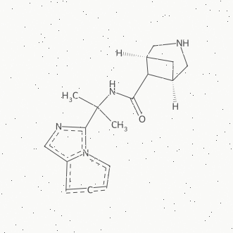 CC(C)(NC(=O)C1[C@@H]2CNC[C@H]1C2)c1ncc2ccccn12